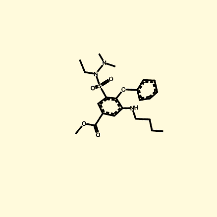 CCCCNc1cc(C(=O)OC)cc(S(=O)(=O)N(CC)N(C)C)c1Oc1ccccc1